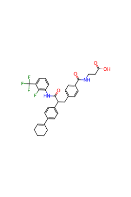 O=C(O)CCNC(=O)c1ccc(CC(C(=O)Nc2cccc(C(F)(F)F)c2F)c2ccc(C3=CCCCC3)cc2)cc1